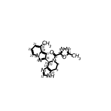 Cc1nnc(C(=O)N2CCc3[nH]cnc3[C@H]2c2cc3c(C)cccn3n2)o1